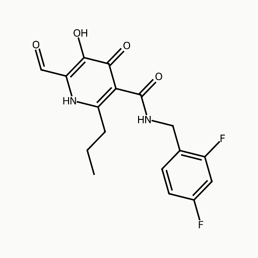 CCCc1[nH]c(C=O)c(O)c(=O)c1C(=O)NCc1ccc(F)cc1F